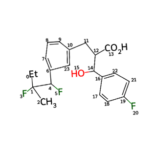 CCC(C)(F)C(F)c1cccc(CC(C(=O)O)C(O)c2ccc(F)cc2)c1